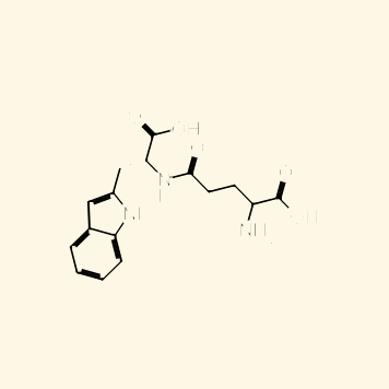 NC(CCC(=O)N[C@H](Cc1cc2ccccc2[nH]1)C(=O)O)C(=O)O